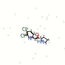 Clc1cc2oc([C@H]3CCCN3)cc2nc1Cl